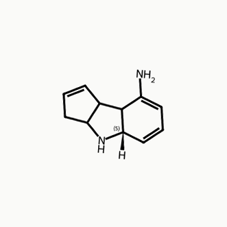 NC1=CC=C[C@@H]2NC3CC=CC3C12